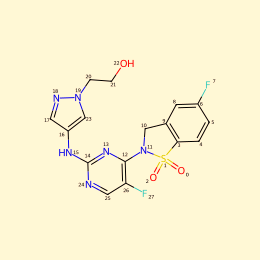 O=S1(=O)c2ccc(F)cc2CN1c1nc(Nc2cnn(CCO)c2)ncc1F